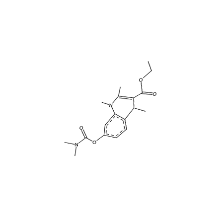 CCOC(=O)C1=C(C)N(C)c2cc(OC(=O)N(C)C)ccc2C1C